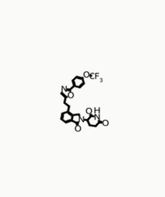 O=C1CCC(N2Cc3c(CCc4cnc(-c5ccc(OC(F)(F)F)cc5)o4)cccc3C2=O)C(=O)N1